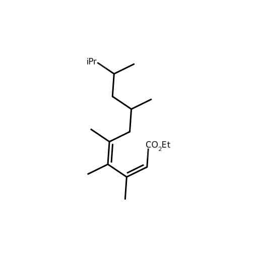 CCOC(=O)C=C(C)C(C)=C(C)CC(C)CC(C)C(C)C